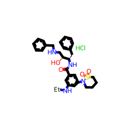 CCNc1cc(C(=O)N[C@@H](Cc2ccccc2)[C@H](O)CNCc2ccccc2)cc(N2CCCCS2(=O)=O)c1.Cl